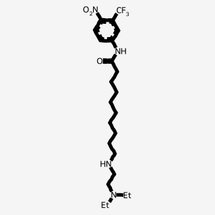 CCN(CC)CCNCCCCCCCCCC(=O)Nc1ccc([N+](=O)[O-])c(C(F)(F)F)c1